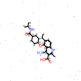 CCc1ccc2nc(C)c(C(=O)O)c(N)c2c1OC1CCC(C(=O)NC(C)C)CC1